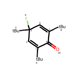 CC(C)(C)C1=CC(F)(C(C)(C)C)C=C(C(C)(C)C)C1=O